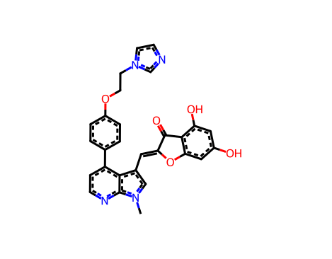 Cn1cc(C=C2Oc3cc(O)cc(O)c3C2=O)c2c(-c3ccc(OCCn4ccnc4)cc3)ccnc21